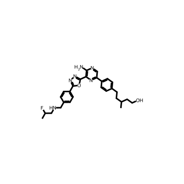 CC(F)CNCc1ccc(-c2nnc(-c3nc(-c4ccc(CCC(C)CCO)cc4)cnc3N)o2)cc1